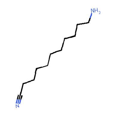 N#CCCCCCCCCCCN